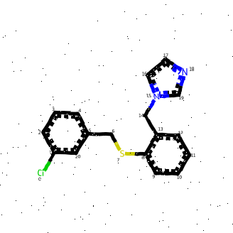 Clc1cccc(CSc2ccccc2Cn2ccnc2)c1